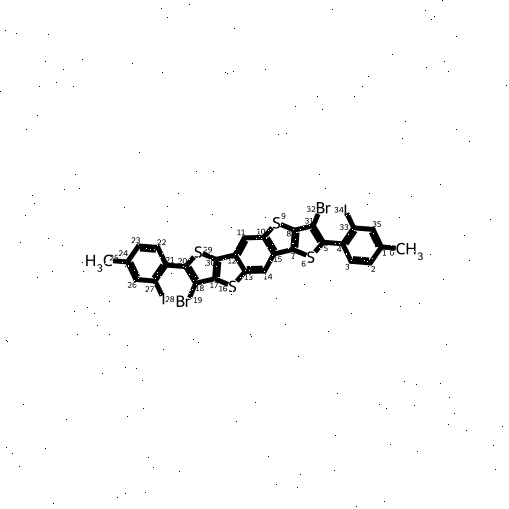 Cc1ccc(-c2sc3c(sc4cc5c(cc43)sc3c(Br)c(-c4ccc(C)cc4I)sc35)c2Br)c(I)c1